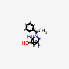 C[C@@H](c1ccccc1)N1C[C@@H]2C[C@@H](O)[C@H]1C2